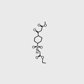 CCOC(=O)CNS(=O)(=O)C1CCC(C(=O)CC(=O)OC)CC1